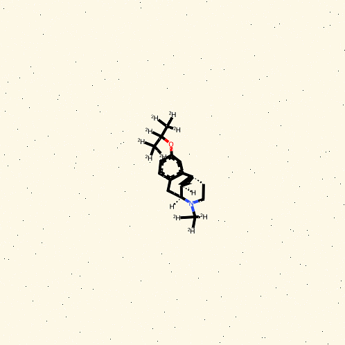 [2H]C([2H])([2H])N1CC[C@@]23CCCC[C@@H]2[C@@H]1Cc1ccc(OC([2H])(C([2H])([2H])[2H])C([2H])([2H])[2H])cc13